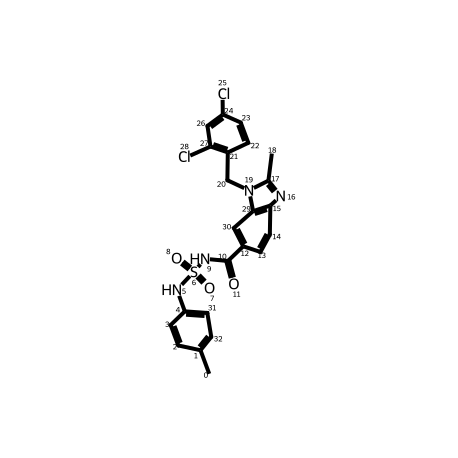 Cc1ccc(NS(=O)(=O)NC(=O)c2ccc3nc(C)n(Cc4ccc(Cl)cc4Cl)c3c2)cc1